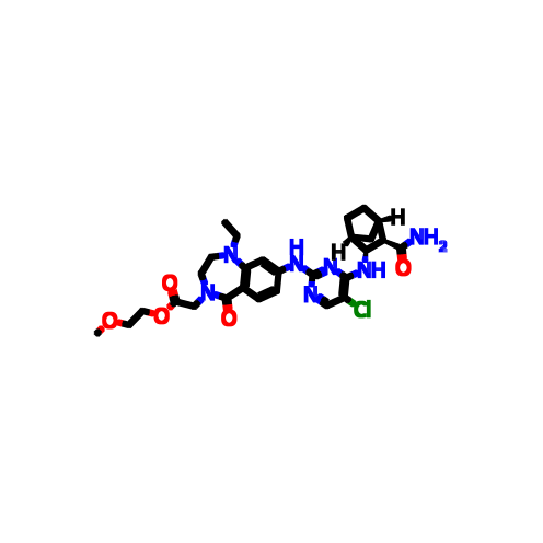 CCN1CCN(CC(=O)OCCOC)C(=O)c2ccc(Nc3ncc(Cl)c(N[C@H]4[C@@H]5CC[C@@H](C5)[C@H]4C(N)=O)n3)cc21